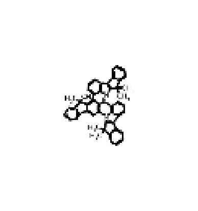 CC1(C)c2ccccc2-c2cc3c4c(c21)-c1cccc2c5c(n(c12)B4c1cccc2c4c(n-3c12)C(C)(C)c1ccccc1-4)C(C)(C)c1ccccc1-5